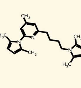 Cc1cc(CCCCn2c(C)ccc2C)nc(-n2c(C)ccc2C)c1